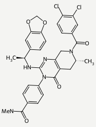 CNC(=O)c1ccc(-n2c(N[C@@H](C)c3ccc4c(c3)OCO4)nc3c(c2=O)C[C@@H](C)N(C(=O)c2ccc(Cl)c(Cl)c2)C3)cc1